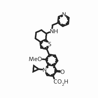 COc1c(-c2cc3c(s2)C(NCc2cccnc2)CCC3)ccc2c(=O)c(C(=O)O)cn(C3CC3)c12